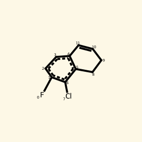 Fc1ccc2c(c1Cl)CCC=C2